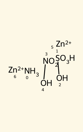 N.O=S(=O)(O)O.O=[N+]([O-])O.[Zn+2].[Zn+2]